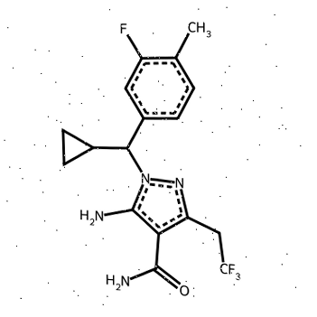 Cc1ccc(C(C2CC2)n2nc(CC(F)(F)F)c(C(N)=O)c2N)cc1F